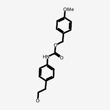 COc1ccc(COC(=O)Nc2ccc(CC[O])cc2)cc1